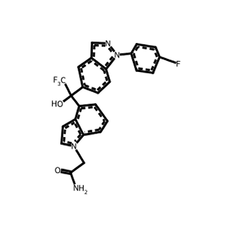 NC(=O)Cn1ccc2c(C(O)(c3ccc4c(cnn4-c4ccc(F)cc4)c3)C(F)(F)F)cccc21